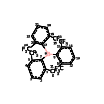 FC(F)(F)c1cccc(C(F)(F)F)c1B(c1c(C(F)(F)F)cccc1C(F)(F)F)c1c(C(F)(F)F)cccc1C(F)(F)F